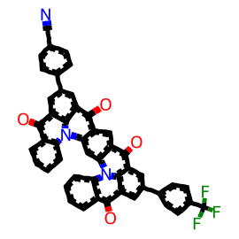 N#Cc1ccc(-c2cc3c(=O)c4ccccc4n4c5cc6c(cc5c(=O)c(c2)c34)c(=O)c2cc(-c3ccc(C(F)(F)F)cc3)cc3c(=O)c4ccccc4n6c32)cc1